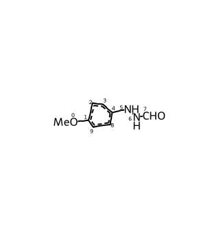 COc1ccc(NNC=O)cc1